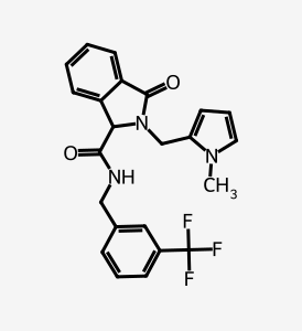 Cn1cccc1CN1C(=O)c2ccccc2C1C(=O)NCc1cccc(C(F)(F)F)c1